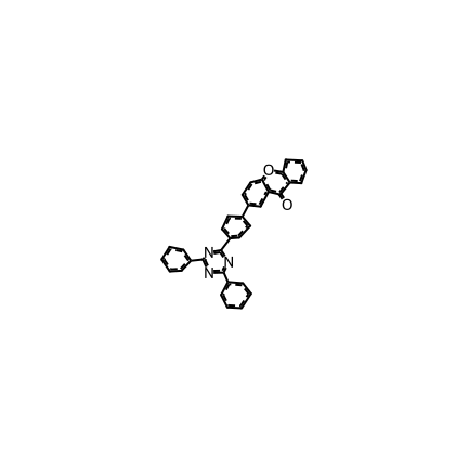 O=c1c2ccccc2oc2ccc(-c3ccc(-c4nc(-c5ccccc5)nc(-c5ccccc5)n4)cc3)cc12